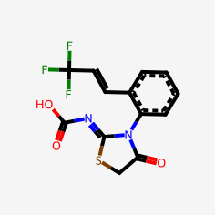 O=C(O)N=C1SCC(=O)N1c1ccccc1/C=C/C(F)(F)F